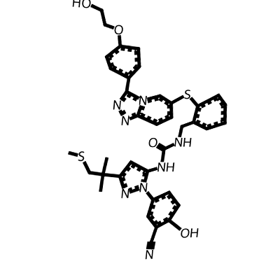 CSCC(C)(C)c1cc(NC(=O)NCc2ccccc2Sc2ccc3nnc(-c4ccc(OCCO)cc4)n3c2)n(-c2ccc(O)c(C#N)c2)n1